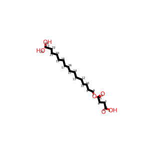 O=C(O)CCC(=O)OCCCCCCCCCCCCCCCC(O)O